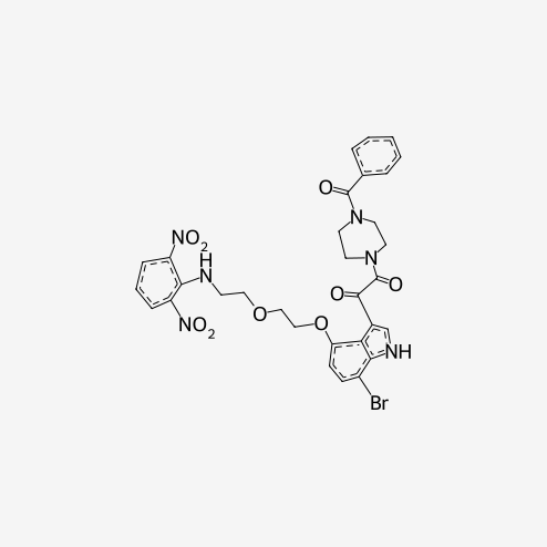 O=C(C(=O)N1CCN(C(=O)c2ccccc2)CC1)c1c[nH]c2c(Br)ccc(OCCOCCNc3c([N+](=O)[O-])cccc3[N+](=O)[O-])c12